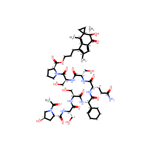 CC(=O)N1C[C@H](O)C[C@H]1C(=O)N[C@@H](CO)C(=O)N[C@@H](CO)C(=O)N[C@H](C(=O)N[C@@H](CCC(N)=O)C(=O)N[C@@H](CO)C(=O)N[C@@H](CO)C(=O)N1CCC[C@H]1C(=O)OCCCC1=C(C)C=C2C(=O)[C@](C)(O)C3(CC3)C(C)=C21)C1=CCCCC1